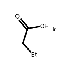 CCCC(=O)O.[Ir]